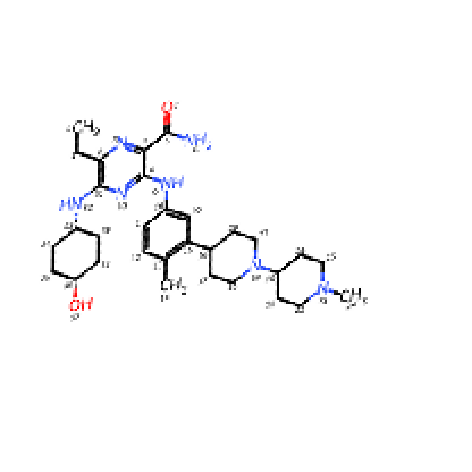 CCc1nc(C(N)=O)c(Nc2ccc(C)c(C3CCN(C4CCN(C)CC4)CC3)c2)nc1N[C@H]1CC[C@H](O)CC1